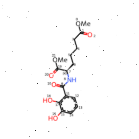 COC(=O)CCCC[C@@H](NC(=O)c1cccc(O)c1O)C(=O)OC